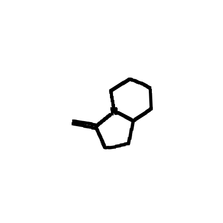 C=C1CCC2CCCCN12